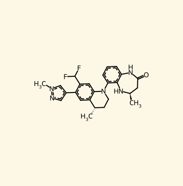 C[C@@H]1CC(=O)Nc2cccc(N3CC[C@H](C)c4cc(-c5cnn(C)c5)c(C(F)F)cc43)c2N1